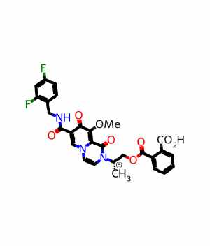 COc1c(=O)c(C(=O)NCc2ccc(F)cc2F)cn2ccn([C@@H](C)COC(=O)c3ccccc3C(=O)O)c(=O)c12